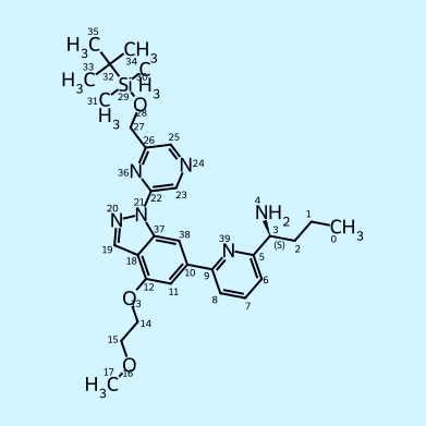 CCC[C@H](N)c1cccc(-c2cc(OCCOC)c3cnn(-c4cncc(CO[Si](C)(C)C(C)(C)C)n4)c3c2)n1